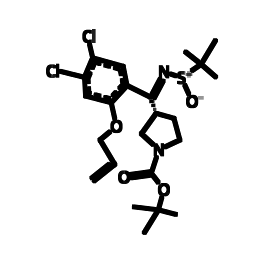 C=CCOc1cc(Cl)c(Cl)cc1C(=N[S+]([O-])C(C)(C)C)[C@@H]1CCN(C(=O)OC(C)(C)C)C1